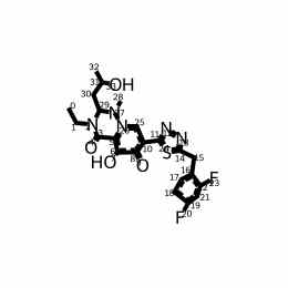 CCN1C(=O)c2c(O)c(=O)c(-c3nnc(Cc4ccc(F)cc4F)s3)cn2N(C)C1CC(C)O